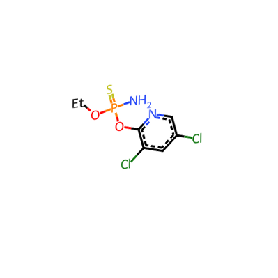 CCOP(N)(=S)Oc1ncc(Cl)cc1Cl